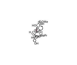 COC(=O)NC1=C2C#C/C=C\C#C[C@H](OC3OC(C)C(C(=O)c4cncc5c4[nH]c4ccc(O)cc45)CC3OC3CC(OC)C(NC(C)C)CO3)C2/C(=C\CSC(C)=O)[C@@H](O)CC1=O